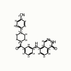 N#Cc1ccc(N2CCN(C(=O)c3cccc(Nc4cccc5c(=O)[nH]ncc45)c3)CC2)nc1